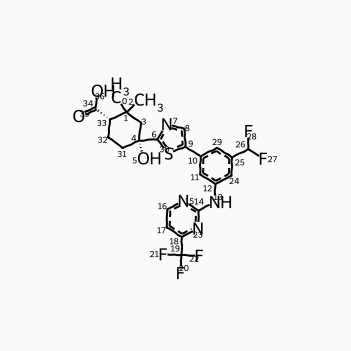 CC1(C)C[C@@](O)(c2ncc(-c3cc(Nc4nccc(C(F)(F)F)n4)cc(C(F)F)c3)s2)CC[C@@H]1C(=O)O